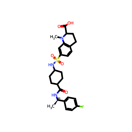 C[C@@H](NC(=O)C1CCC(NS(=O)(=O)c2ccc3c(c2)N(C)C(C(=O)O)CC3)CC1)c1ccc(F)cc1